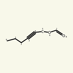 CCCC#CCOC=O